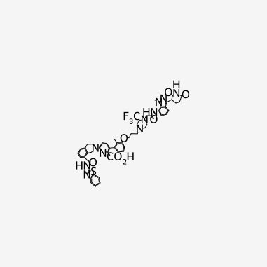 Cc1c(OCCCN2CCN(CC(=O)Nc3cccc4c(C5CCC(=O)NC5=O)nn(C)c34)C(C(F)(F)F)C2)cccc1-c1ccc(N2CCc3cccc(C(=O)Nc4nc5ccccc5s4)c3C2)nc1C(=O)O